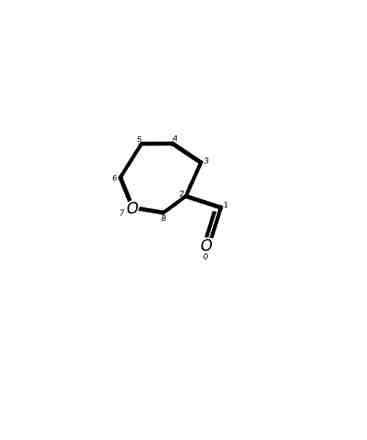 O=CC1CCCCOC1